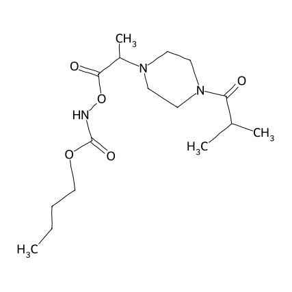 CCCCOC(=O)NOC(=O)C(C)N1CCN(C(=O)C(C)C)CC1